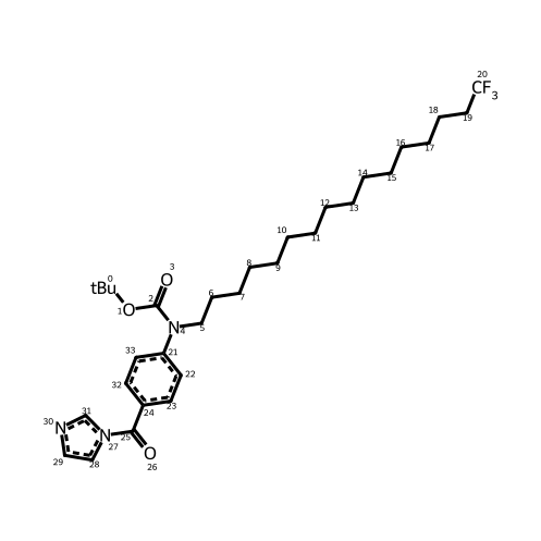 CC(C)(C)OC(=O)N(CCCCCCCCCCCCCCCC(F)(F)F)c1ccc(C(=O)n2ccnc2)cc1